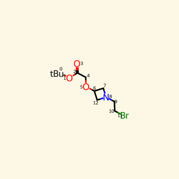 CC(C)(C)OC(=O)COC1CN(CCBr)C1